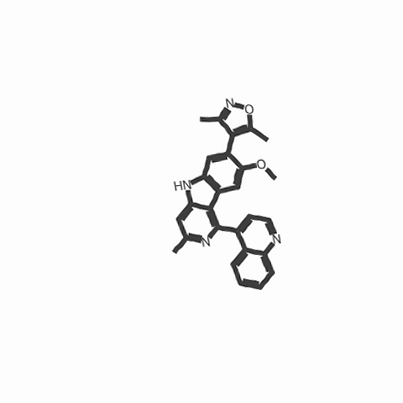 COc1cc2c(cc1-c1c(C)noc1C)[nH]c1cc(C)nc(-c3ccnc4ccccc34)c12